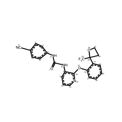 N#Cc1ccc(NC(=O)Nc2cccnc2Oc2ccccc2C2(C(F)(F)F)CCO2)cc1